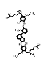 CCOc1cc(NC2CCc3c(-c4cccc(COc5cc(OCC)c(CN(C)CCCC(=O)O)cc5Cl)c4C)cccc32)c(Cl)cc1CN(C)CCCC(=O)O